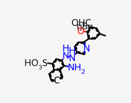 CCCCOc1c(C=O)cc(C)cc1-c1ccc(NNc2cc(S(=O)(=O)O)c3ccccc3c2N)cn1